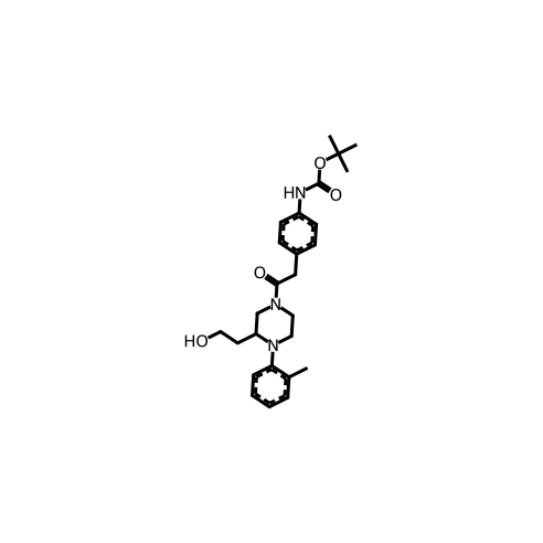 Cc1ccccc1N1CCN(C(=O)Cc2ccc(NC(=O)OC(C)(C)C)cc2)CC1CCO